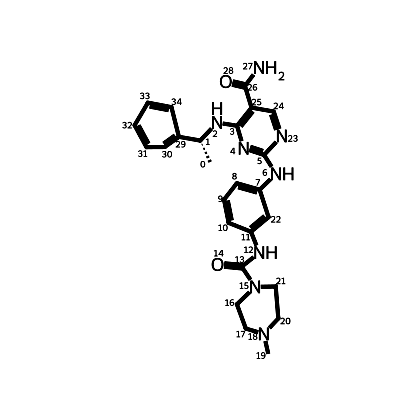 C[C@@H](Nc1nc(Nc2cccc(NC(=O)N3CCN(C)CC3)c2)ncc1C(N)=O)c1ccccc1